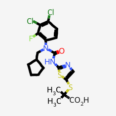 CC(C)(Sc1cnc(NC(=O)N(CC2CCCC2)c2ccc(Cl)c(Cl)c2F)s1)C(=O)O